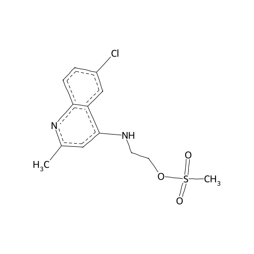 Cc1cc(NCCOS(C)(=O)=O)c2cc(Cl)ccc2n1